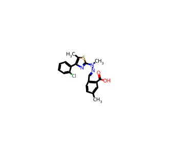 Cc1ccc(/C=N/N(C)c2nc(-c3ccccc3Cl)c(C)s2)c(C(=O)O)c1